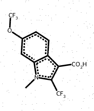 Cn1c(C(F)(F)F)c(C(=O)O)c2ccc(OC(F)(F)F)cc21